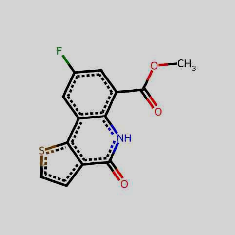 COC(=O)c1cc(F)cc2c1[nH]c(=O)c1ccsc12